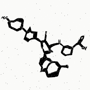 CN1CCN(c2ccc(-c3nc(-c4cnc5ccc(F)cn45)nc(N[C@@H]4CCCN(C(=O)O)C4)c3F)cc2)CC1